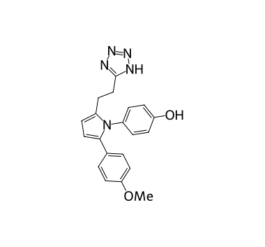 COc1ccc(-c2ccc(CCc3nnn[nH]3)n2-c2ccc(O)cc2)cc1